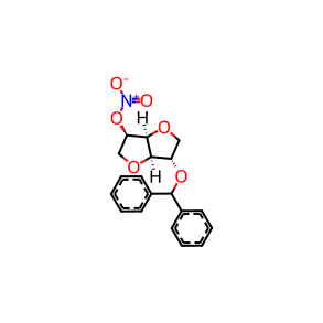 O=[N+]([O-])O[C@@H]1CO[C@H]2[C@@H]1OC[C@@H]2OC(c1ccccc1)c1ccccc1